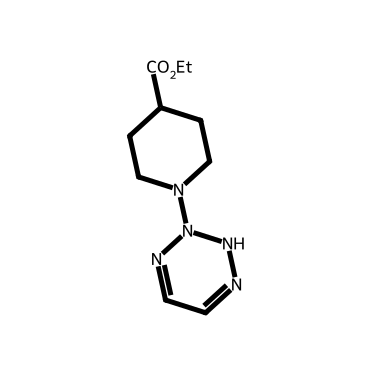 CCOC(=O)C1CCN(N2N=CC=NN2)CC1